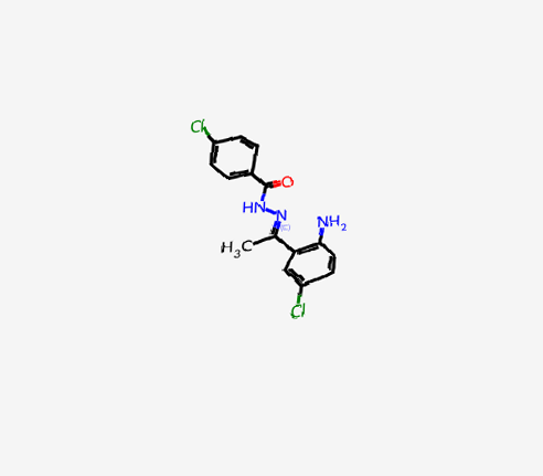 C/C(=N\NC(=O)c1ccc(Cl)cc1)c1cc(Cl)ccc1N